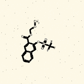 COCOC(=O)c1cc2ccccc2cc1OS(=O)(=O)C(F)(F)F